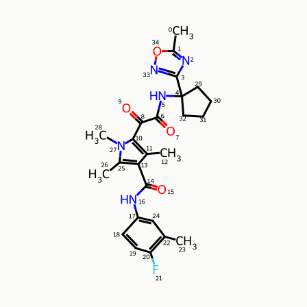 Cc1nc(C2(NC(=O)C(=O)c3c(C)c(C(=O)Nc4ccc(F)c(C)c4)c(C)n3C)CCCC2)no1